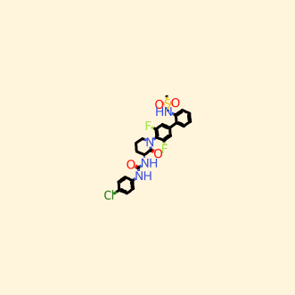 CS(=O)(=O)Nc1ccccc1-c1cc(F)c(N2CCC[C@@H](NC(=O)Nc3ccc(Cl)cc3)C2=O)c(F)c1